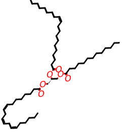 CCCCC/C=C\C/C=C\C/C=C\CCCCCCC(=O)OC[C@@H](COC(=O)CCCCCCCCCCCC)OC(=O)CCCCCCCCC/C=C\CCCCCCCC